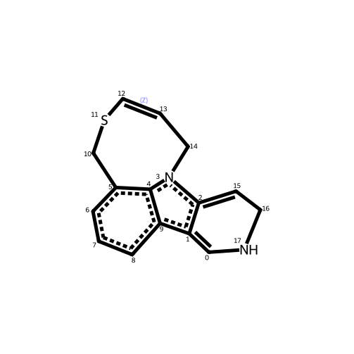 C1=c2c(n3c4c(cccc24)CS/C=C\C3)=CCN1